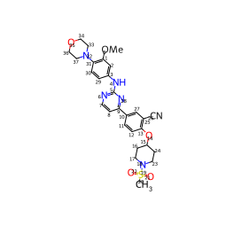 COc1cc(Nc2nccc(-c3ccc(OC4CCN(S(C)(=O)=O)CC4)c(C#N)c3)n2)ccc1N1CCOCC1